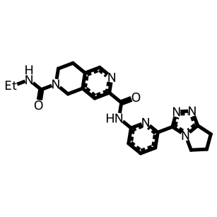 CCNC(=O)N1CCc2cnc(C(=O)Nc3cccc(-c4nnc5n4CCC5)n3)cc2C1